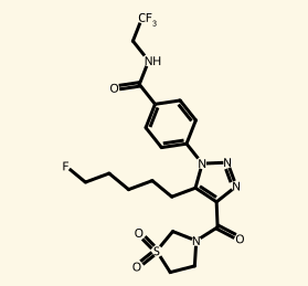 O=C(NCC(F)(F)F)c1ccc(-n2nnc(C(=O)N3CCS(=O)(=O)C3)c2CCCCCF)cc1